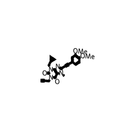 C#CCn1c(=O)c2c(nc(C#Cc3ccc(OC)c(OC)c3)n2C)n(CC2CC2)c1=O